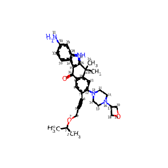 CC(C)OCC#Cc1cc2c(cc1N1CCN(C3COC3)CC1)C(C)(C)c1[nH]c3cc(N)ccc3c1C2=O